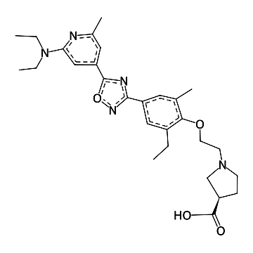 CCc1cc(-c2noc(-c3cc(C)nc(N(CC)CC)c3)n2)cc(C)c1OCCN1CC[C@@H](C(=O)O)C1